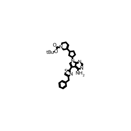 CC(C)(C)OC(=O)N1CCC=C(C2CCC(n3cc(-c4nc(Cc5ccccc5)cs4)c4c(N)ncnc43)C2)C1